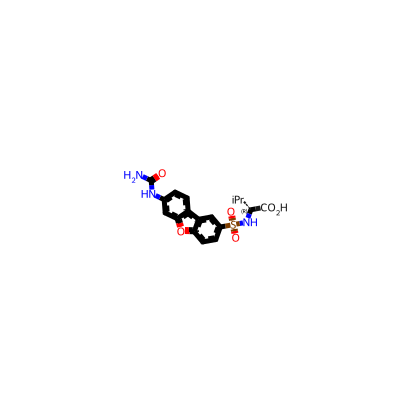 CC(C)[C@@H](NS(=O)(=O)c1ccc2oc3cc(NC(N)=O)ccc3c2c1)C(=O)O